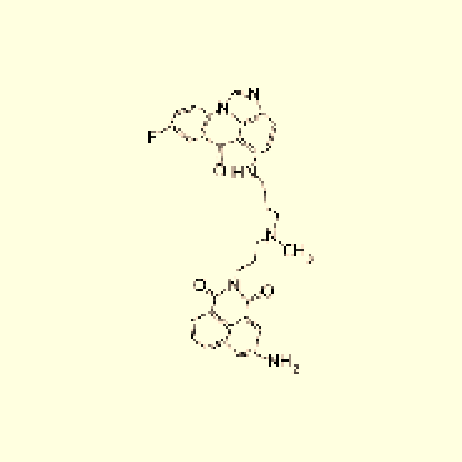 CN(CCCNc1ccc2ncn3c4ccc(F)cc4c(=O)c1c23)CCCN1C(=O)c2cccc3cc(N)cc(c23)C1=O